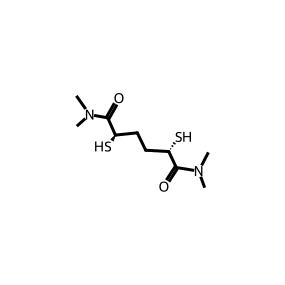 CN(C)C(=O)[C@H](S)CC[C@H](S)C(=O)N(C)C